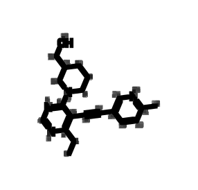 CCc1ncnc(N2CCCC(CO)C2)c1C#Cc1ccc(C)nc1